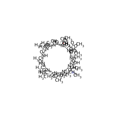 C/C=C/C[C@@H](C)[C@@H](O)[C@H]1C(=O)N[C@@H](CC)C(=O)N(C)C(CC(C(=O)OC)C(=O)OC)C(=O)N(C)[C@@H](CC(C)(C)OC)C(=O)N[C@@H](C(C)C)C(=O)N(C)[C@@H](CC(C)C)C(=O)N[C@@H](C)C(=O)N[C@H](C)C(=O)N(C)[C@@H](CC(C)C)C(=O)N(C)[C@@H](CC(C)C)C(=O)N(C)[C@@H](C(C)C)C(=O)N1C